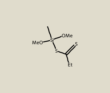 CCC(=S)S[Si](C)(OC)OC